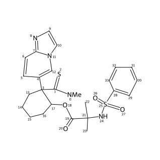 CNC(=S)C1(c2ccc3nccn3c2)CCCCC1OC(=O)C(C)(C)NS(=O)(=O)c1ccccc1